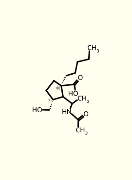 CCCCC[C@@]1(C(=O)O)CC[C@@H](CO)C1C(C)NC(C)=O